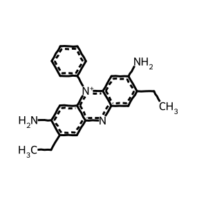 CCc1cc2nc3cc(CC)c(N)cc3[n+](-c3ccccc3)c2cc1N